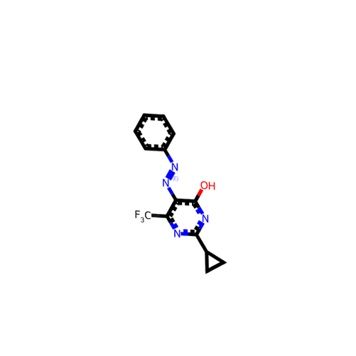 Oc1nc(C2CC2)nc(C(F)(F)F)c1/N=N/c1ccccc1